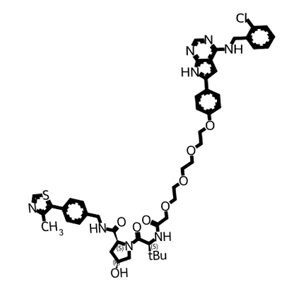 Cc1ncsc1-c1ccc(CNC(=O)[C@@H]2C[C@@H](O)CN2C(=O)[C@@H](NC(=O)COCCOCCOCCOc2ccc(-c3cc4c(NCc5ccccc5Cl)ncnc4[nH]3)cc2)C(C)(C)C)cc1